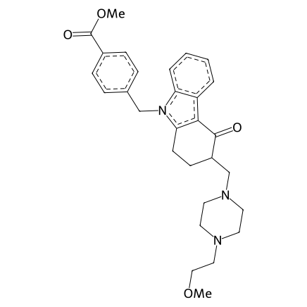 COCCN1CCN(CC2CCc3c(c4ccccc4n3Cc3ccc(C(=O)OC)cc3)C2=O)CC1